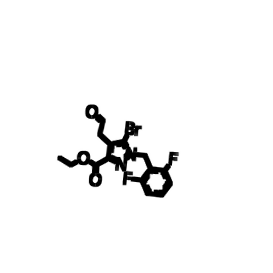 CCOC(=O)c1nn(Cc2c(F)cccc2F)c(Br)c1CC=O